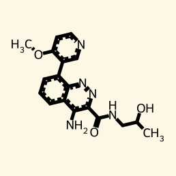 COc1ccncc1-c1cccc2c(N)c(C(=O)NCC(C)O)nnc12